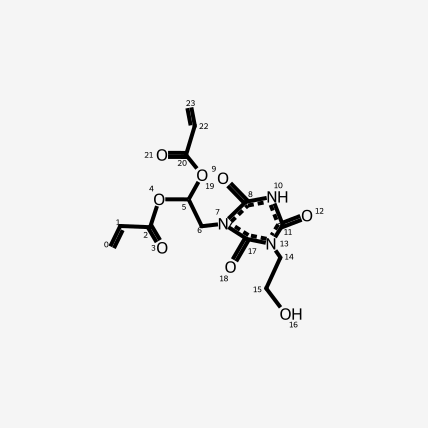 C=CC(=O)OC(Cn1c(=O)[nH]c(=O)n(CCO)c1=O)OC(=O)C=C